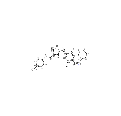 Cc1cc(/N=C\N2CCCCC2)c(Cl)cc1Oc1nc(CCc2ccc(Cl)cc2)ns1